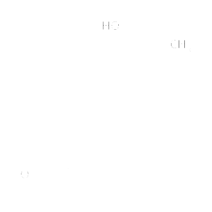 CC(O)c1ccc(CC2COC2)cc1